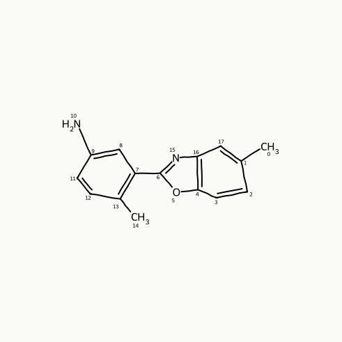 Cc1ccc2oc(-c3cc(N)ccc3C)nc2c1